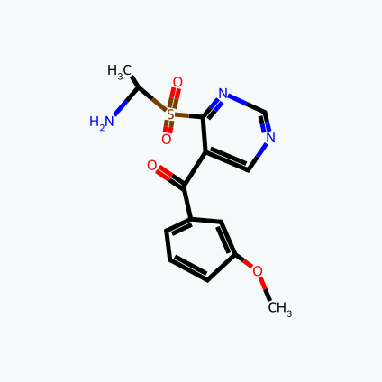 COc1cccc(C(=O)c2cncnc2S(=O)(=O)C(C)N)c1